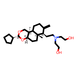 C=C1CCC2[C@]3(C)CO[C@@H](C4CCCC4)O[C@@H]3CC[C@@]2(C)[C@@H]1CCN(CCO)CCO